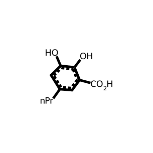 CCCc1cc(O)c(O)c(C(=O)O)c1